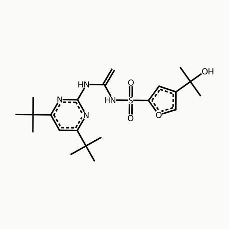 C=C(Nc1nc(C(C)(C)C)cc(C(C)(C)C)n1)NS(=O)(=O)c1cc(C(C)(C)O)co1